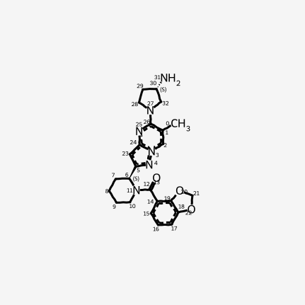 Cc1cn2nc([C@@H]3CCCCN3C(=O)c3cccc4c3OCO4)cc2nc1N1CC[C@H](N)C1